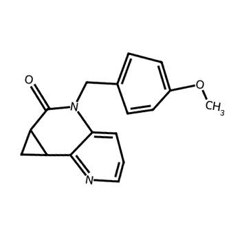 COc1ccc(CN2C(=O)C3CC3c3ncccc32)cc1